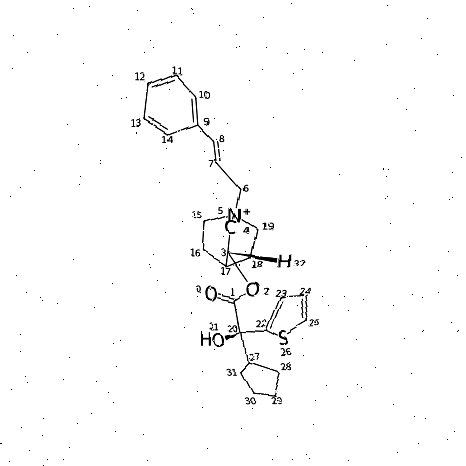 O=C(O[C@H]1C[N+]2(CC=Cc3ccccc3)CCC1CC2)[C@](O)(c1cccs1)C1CCCC1